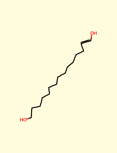 O/C=C/CCCCCCCCCCCCCO